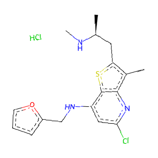 CN[C@@H](C)Cc1sc2c(NCc3ccco3)cc(Cl)nc2c1C.Cl